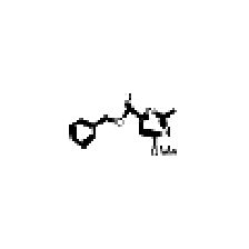 COc1cc(C(=O)OCc2ccccc2)nc(C)n1